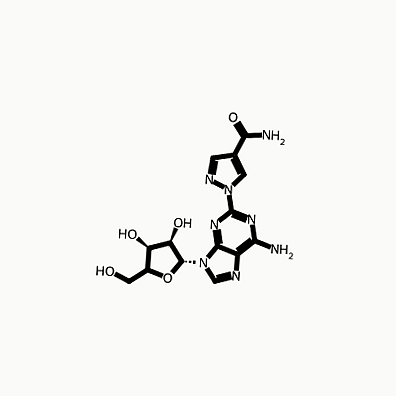 NC(=O)c1cnn(-c2nc(N)c3ncn([C@@H]4OC(CO)[C@@H](O)[C@H]4O)c3n2)c1